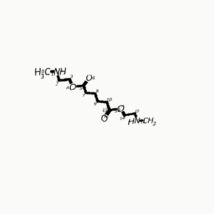 CNCCOC(=O)CCCCC(=O)OCCNC